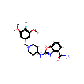 CCOc1cc(CN2CCC(Nc3nc4c(C(N)=O)cccc4o3)CC2)cc(OCC)c1F